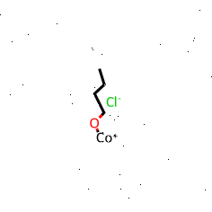 CCCC[O][Co+].[Cl-]